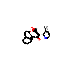 O=c1c(-c2ncccc2C(F)(F)F)coc2ccc3ccccc3c12